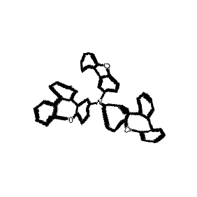 c1ccc2c(c1)Oc1ccc(N(c3ccc4c(c3)-c3ccccc3-c3ccccc3O4)c3ccc4oc5ccccc5c4c3)cc1-c1ccccc1-2